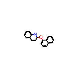 c1ccc2nc(Oc3cccc4ccccc34)ccc2c1